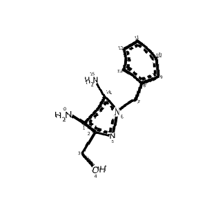 Nc1c(CO)nn(Cc2ccccc2)c1N